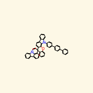 c1ccc(-c2ccc(-c3ccc(-n4c5ccccc5c5ccc6c(c54)Oc4ccccc4C64c5ccccc5-n5c6ccccc6c6cccc4c65)cc3)cc2)cc1